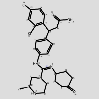 C[C@H]1CN(/C(=N\C2CCC(=O)CC2)Nc2ccc(C(CC(N)=O)c3ccc(Cl)cc3Cl)cc2)CCN1